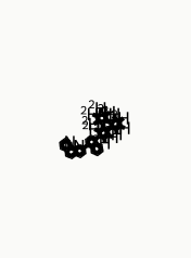 [2H]c1c([2H])c([2H])c2c(c1[2H])c1c([2H])c([2H])c([2H])c([2H])c1c1c([2H])c(-c3ccc(-c4ccc5ccc6cccnc6c5n4)c4ccccc34)c([2H])c([2H])c21